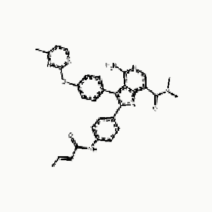 CC=CC(=O)Nc1ccc(-c2sc3c(C(=O)N(C)C)cnc(N)c3c2-c2ccc(Oc3nccc(C)n3)cc2)cc1